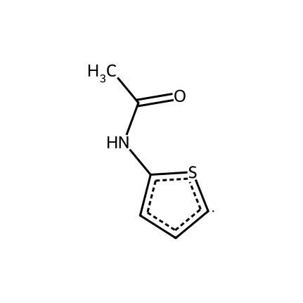 CC(=O)Nc1cc[c]s1